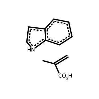 C=C(C)C(=O)O.c1ccc2[nH]ccc2c1